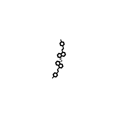 Cc1ccc(/C=C/c2cccc3c(Sc4cccc5c(/C=C/c6ccc(C)cc6)cccc45)cccc23)cc1